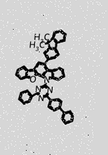 CC1(C)c2ccccc2-c2ccc(-c3cc4c5ccccc5oc4c4c3c3ccccc3n4-c3nc(-c4ccccc4)nc(-c4ccc(-c5ccccc5)cc4)n3)cc21